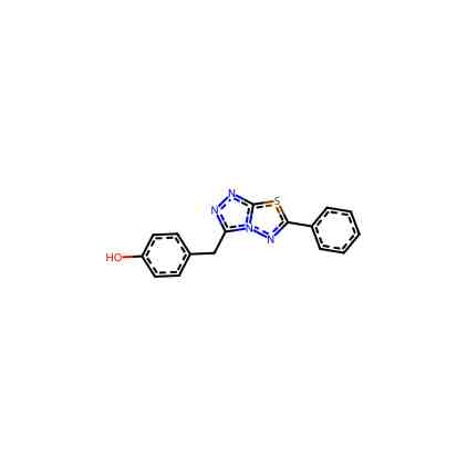 Oc1ccc(Cc2nnc3sc(-c4ccccc4)nn23)cc1